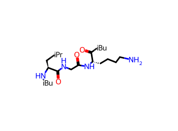 CCC(C)N[C@@H](CC(C)C)C(=O)NCC(=O)N[C@@H](CCCCN)C(=O)C(C)CC